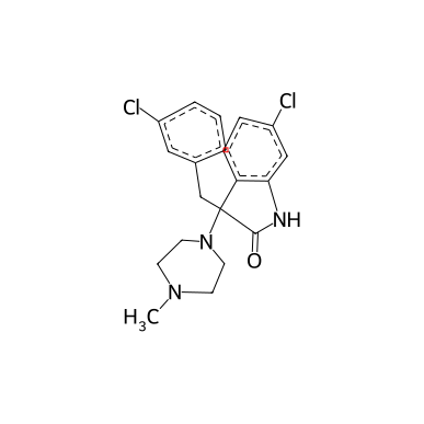 CN1CCN(C2(Cc3cccc(Cl)c3)C(=O)Nc3cc(Cl)ccc32)CC1